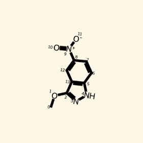 COc1n[nH]c2ccc([N+](=O)[O-])cc12